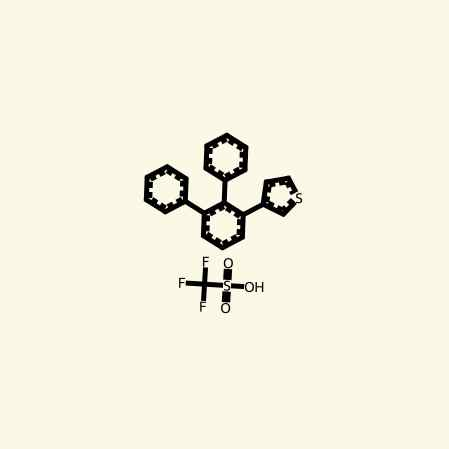 O=S(=O)(O)C(F)(F)F.c1ccc(-c2cccc(-c3ccsc3)c2-c2ccccc2)cc1